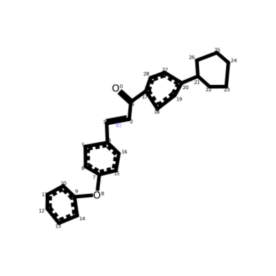 O=C(/C=C/c1ccc(Oc2ccccc2)cc1)c1ccc(C2CCCCC2)cc1